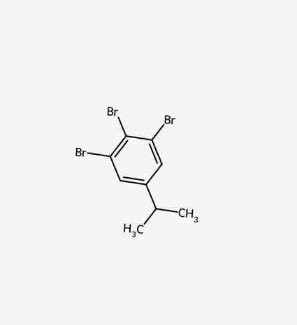 CC(C)c1cc(Br)c(Br)c(Br)c1